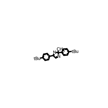 CC(C)(C)c1ccc(C2=NC(C)(c3ccc(C(C)(C)C)cc3)N=C2)cc1